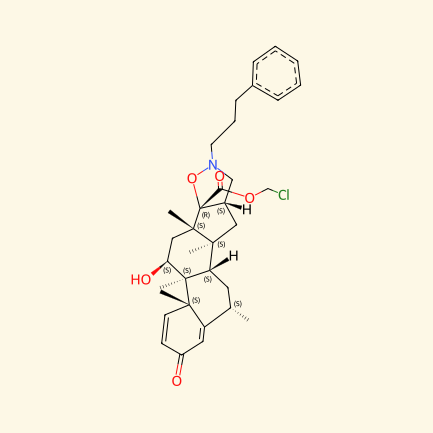 C[C@H]1C[C@@H]2[C@](C)([C@@H](O)C[C@@]3(C)[C@@]2(C)C[C@H]2CN(CCCc4ccccc4)O[C@]23C(=O)OCCl)[C@@]2(C)C=CC(=O)C=C12